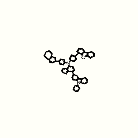 C1=Cc2ccc(-c3ccc(N(c4ccc(-c5cccc6c5oc5ccccc56)cc4)c4ccc(-c5ccc6c(c5)c5ccccc5n6-c5ccccc5)c5ccccc45)cc3)cc2C=CC1